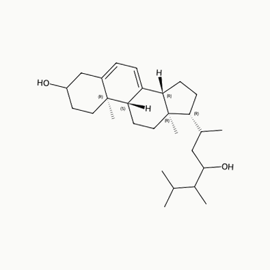 CC(C)C(C)C(O)CC(C)[C@H]1CC[C@H]2C3=CC=C4CC(O)CC[C@]4(C)[C@H]3CC[C@]12C